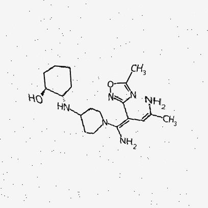 C/C(N)=C/C(=C(\N)N1CCC(N[C@H]2CCCC[C@@H]2O)CC1)c1noc(C)n1